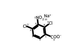 O=C([O-])c1ccc(Cl)c([N+](=O)[O-])c1Cl.[Na+]